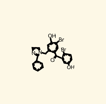 O=C(c1cc(O)ccc1Br)c1cc(Br)c(O)cc1Cn1ccnc1-c1ccccc1